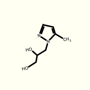 Cc1c[c]nn1CC(O)CO